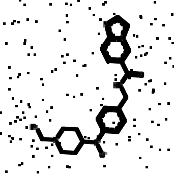 CC(C)CN1CCC([S+]([O-])c2ccc(CNC(=O)c3ccc4nccn4c3)cc2)CC1